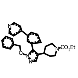 CCOC(=O)N1CCC(c2cnn(OCc3ccccc3)c2-c2cccc(-c3ccncc3)c2)CC1